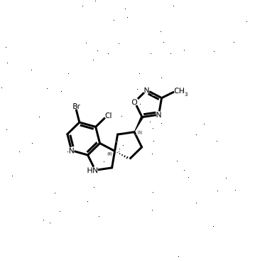 Cc1noc([C@H]2CC[C@@]3(CNc4ncc(Br)c(Cl)c43)C2)n1